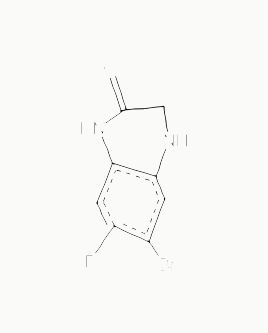 O=C1CNc2cc(Br)c(F)cc2N1